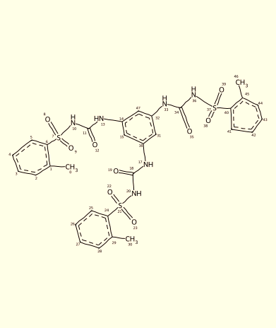 Cc1ccccc1S(=O)(=O)NC(=O)Nc1cc(NC(=O)NS(=O)(=O)c2ccccc2C)cc(NC(=O)NS(=O)(=O)c2ccccc2C)c1